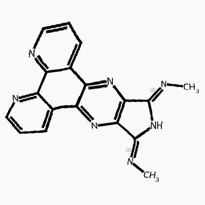 C/N=C1\N/C(=N\C)c2nc3c4cccnc4c4ncccc4c3nc21